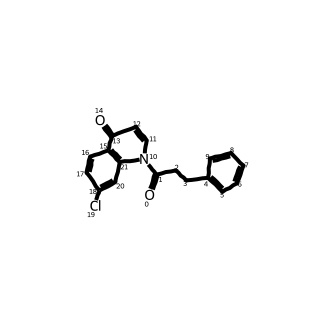 O=C(CCc1ccccc1)n1ccc(=O)c2ccc(Cl)cc21